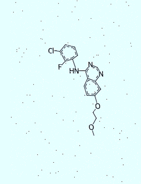 COCCOc1[c]cc2c(Nc3cccc(Cl)c3F)ncnc2c1